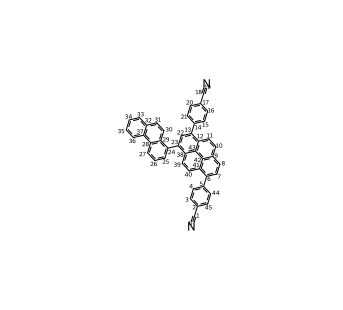 N#Cc1ccc(-c2ccc3ccc4c(-c5ccc(C#N)cc5)cc(-c5cccc6c5ccc5ccccc56)c5ccc2c3c45)cc1